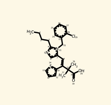 CCCCc1ncc(C=C(c2cccs2)C(C)(C)C(=O)O)n1Cc1ccccc1Cl